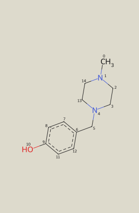 CN1CCN(Cc2c[c]c(O)cc2)CC1